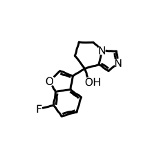 OC1(c2coc3c(F)cccc23)CCCn2cncc21